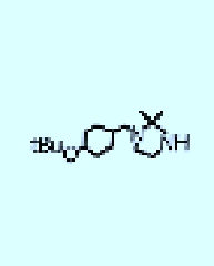 CC(C)(C)OC1CCC(CN2CCNCC2(C)C)CC1